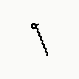 CCCCCCCCCC/C=C/CCc1ccccc1C